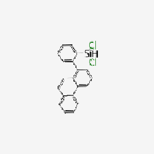 Cl[SiH](Cl)c1ccccc1-c1cccc2c1ccc1ccccc12